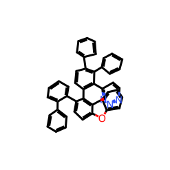 c1ccc(-c2ccccc2-c2ccc3oc4ccccc4c3c2-c2ccc(-c3ccccc3)c(-c3ccccc3)c2-c2ccnnn2)cc1